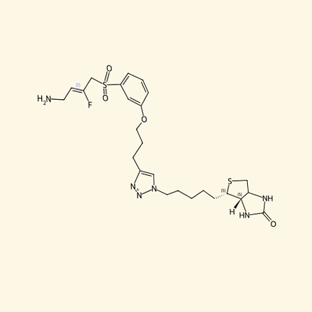 NC/C=C(\F)CS(=O)(=O)c1cccc(OCCCc2cn(CCCCC[C@@H]3SCC4NC(=O)N[C@@H]43)nn2)c1